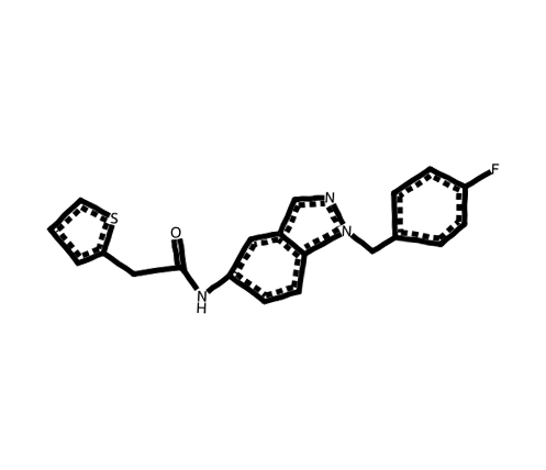 O=C(Cc1cccs1)Nc1ccc2c(cnn2Cc2ccc(F)cc2)c1